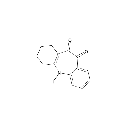 O=c1c2c(n(I)c3ccccc3c1=O)CCCC2